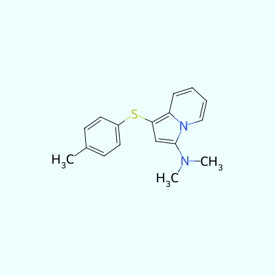 Cc1ccc(Sc2cc(N(C)C)n3ccccc23)cc1